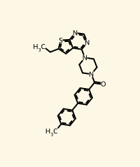 CCc1cc2c(N3CCN(C(=O)c4ccc(-c5ccc(C)cc5)cc4)CC3)ncnc2s1